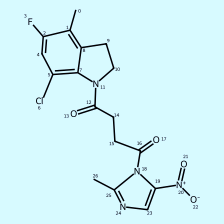 Cc1c(F)cc(Cl)c2c1CCN2C(=O)CCC(=O)n1c([N+](=O)[O-])cnc1C